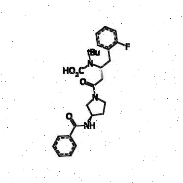 CC(C)(C)N(C(=O)O)[C@@H](CC(=O)N1CC[C@@H](NC(=O)c2ccccc2)C1)Cc1ccccc1F